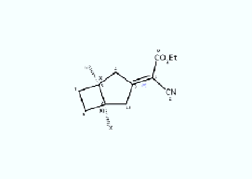 CCOC(=O)/C(C#N)=C1\C[C@]2(C)CC[C@]2(C)C1